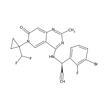 C#C[C@@H](Nc1nc(C)nc2cc(=O)n(C3(C(F)F)CC3)cc12)c1cccc(Br)c1F